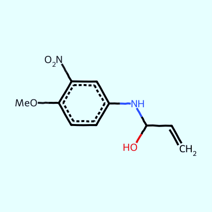 C=CC(O)Nc1ccc(OC)c([N+](=O)[O-])c1